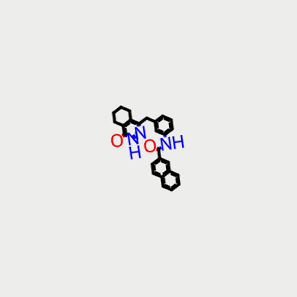 O=C(Nc1cccc(Cc2n[nH]c(=O)c3c2CCCC3)c1)c1ccc2ccccc2c1